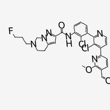 COc1nc(-c2ccnc(-c3cccc(NC(=O)c4cc5n(n4)CN(CCCF)CC5)c3Cl)c2Cl)ccc1C=O